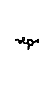 CCOC(=O)Cc1ccc(C2CC2)cc1F